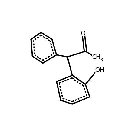 CC(=O)C(c1ccccc1)c1ccccc1O